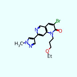 CCOCCCn1c(=O)c(Br)cc2cnc(-c3cnn(C)c3)cc21